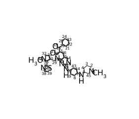 CN1CCCC(Nc2ccc(Nc3ncc4cc(C(=O)c5ccccc5)c(=O)n(Cc5ccn(C)c5-c5nccs5)c4n3)cc2)C1